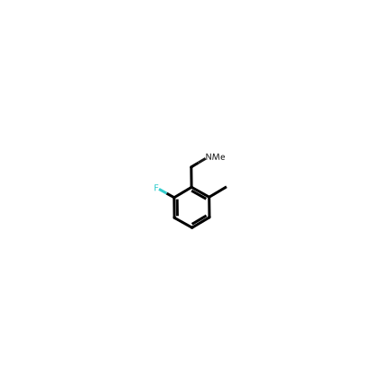 CNCc1c(C)cccc1F